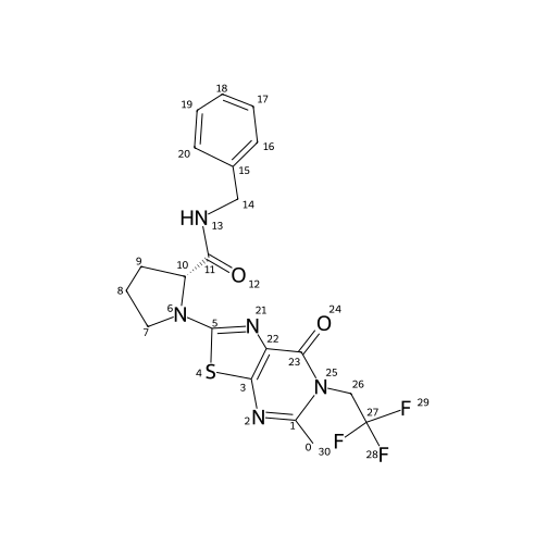 Cc1nc2sc(N3CCC[C@@H]3C(=O)NCc3ccccc3)nc2c(=O)n1CC(F)(F)F